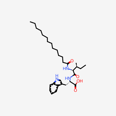 CCCCCCCCCCCCCC(=O)N[C@H](C(=O)N[C@@H](Cc1c[nH]c2ccccc12)C(=O)O)[C@@H](C)CC